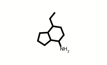 CCC1CCC(N)C2CCCC12